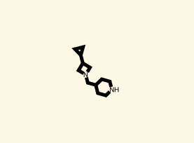 C1CC(CN2CC(C3CC3)C2)CCN1